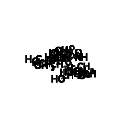 CN[C@H]1C[C@@H]2O[C@](C)([C@H]1OC)n1c3ccccc3c3c4c(c5c6ccccc6n2c5c31)C(=O)NC4.C[C@H](CCC(=O)O)[C@H]1CC[C@H]2[C@@H]3CC[C@@H]4C[C@H](O)CC[C@]4(C)[C@H]3C[C@H](O)[C@]12C.Cc1ccc(C)c(OCCCC(C)(C)C(=O)O)c1